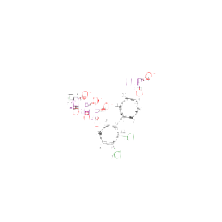 Clc1cccc(-c2ccccc2)c1Cl.O=[PH2][O-].O=[PH2][O-].O=[PH2][O-].O=[PH2][O-].[Ti+4]